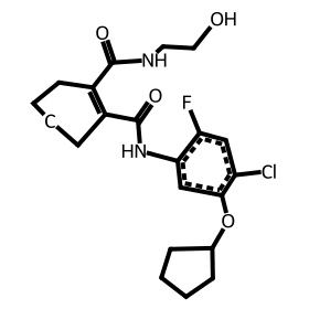 O=C(NCCO)C1=C(C(=O)Nc2cc(OC3CCCC3)c(Cl)cc2F)CCCC1